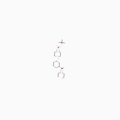 CC(C)(C)OC(=O)N1CCN([C@@H]2CCCC(C(=O)N3CCOCC3)C2)CC1